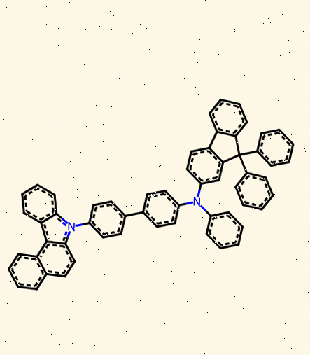 c1ccc(N(c2ccc(-c3ccc(-n4c5ccccc5c5c6ccccc6ccc54)cc3)cc2)c2ccc3c(c2)C(c2ccccc2)(c2ccccc2)c2ccccc2-3)cc1